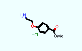 COC(=O)c1ccc(OCCN)cc1.Cl